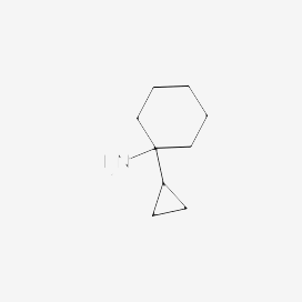 NC1(C2CC2)CCCCC1